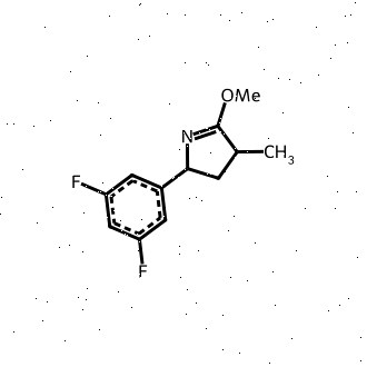 COC1=NC(c2cc(F)cc(F)c2)CC1C